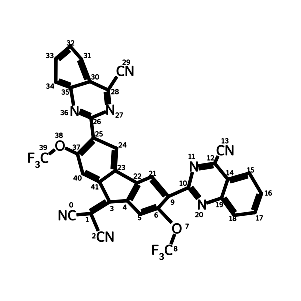 N#CC(C#N)=C1c2cc(OC(F)(F)F)c(-c3nc(C#N)c4ccccc4n3)cc2-c2cc(-c3nc(C#N)c4ccccc4n3)c(OC(F)(F)F)cc21